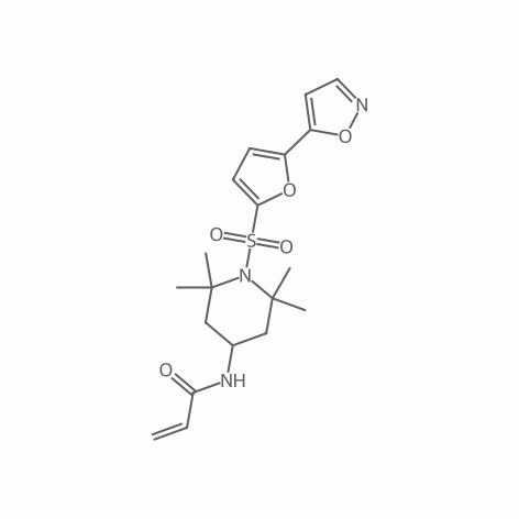 C=CC(=O)NC1CC(C)(C)N(S(=O)(=O)c2ccc(-c3ccno3)o2)C(C)(C)C1